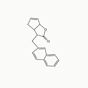 O=C1OC2C=CCC2C1Cc1ccc2ccccc2c1